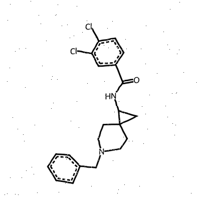 O=C(NC1CC12CCN(Cc1ccccc1)CC2)c1ccc(Cl)c(Cl)c1